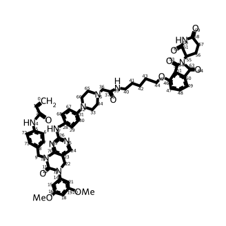 C=CC(=O)Nc1ccc(CN2C(=O)N(c3cc(OC)cc(OC)c3)Cc3cnc(Nc4ccc(N5CCN(CC(=O)NCCCCCOc6cccc7c6C(=O)N(C6CCC(=O)NC6=O)C7=O)CC5)cc4)nc32)cc1